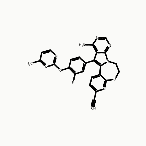 C#Cc1ccc2c(n1)OCCn1c-2c(-c2ccc(Oc3nccc(C)n3)c(F)c2)c2c(N)ncnc21